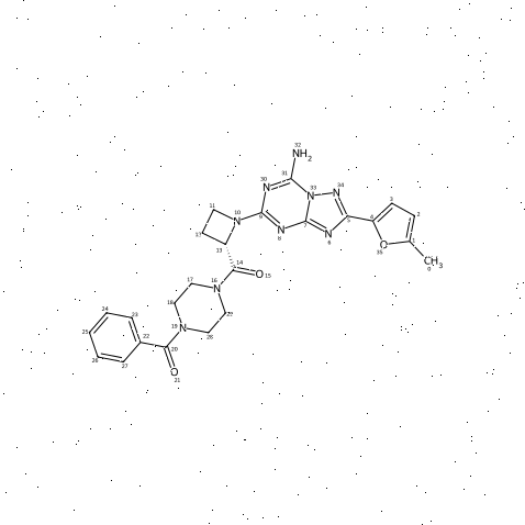 Cc1ccc(-c2nc3nc(N4CC[C@H]4C(=O)N4CCN(C(=O)c5ccccc5)CC4)nc(N)n3n2)o1